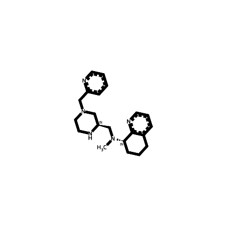 CN(C[C@@H]1CN(Cc2ccccn2)CCN1)[C@H]1CCCc2cccnc21